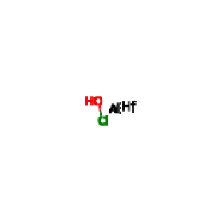 OCl.[Al].[Hf]